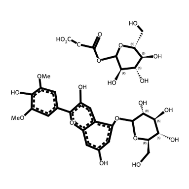 COc1cc(-c2[o+]c3cc(O)cc(OC4O[C@H](CO)[C@@H](O)[C@H](O)[C@H]4O)c3cc2O)cc(OC)c1O.O=C(O)CC(=O)OC1O[C@H](CO)[C@@H](O)[C@H](O)[C@H]1O